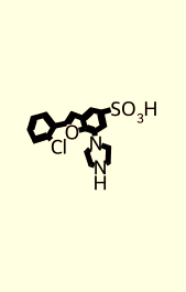 O=S(=O)(O)c1cc(N2CCNCC2)c2oc(-c3ccccc3Cl)cc2c1